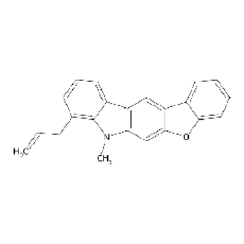 C=CCc1cccc2c3cc4c(cc3n(C)c12)oc1ccccc14